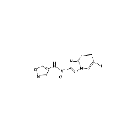 O=C(Nc1cnoc1)c1cn2cc(I)ccc2n1